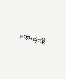 Cc1cc(C(C)(C)c2cc(C)c(OCC3CN(C)C(=O)O3)c(C)c2)cc(C)c1O